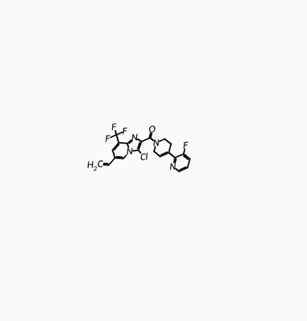 C=Cc1cc(C(F)(F)F)c2nc(C(=O)N3CC=C(c4ncccc4F)CC3)c(Cl)n2c1